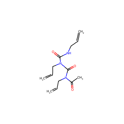 C=CCNC(=O)N(CC=C)C(=O)N(CC=C)C(C)=O